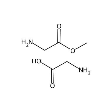 COC(=O)CN.NCC(=O)O